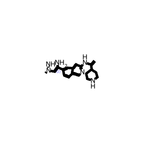 C=C(Nc1cc2cc(/C(N)=C/N(C)N)ccc2cn1)C1CCNCC1